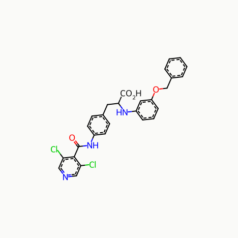 O=C(Nc1ccc(CC(Nc2cccc(OCc3ccccc3)c2)C(=O)O)cc1)c1c(Cl)cncc1Cl